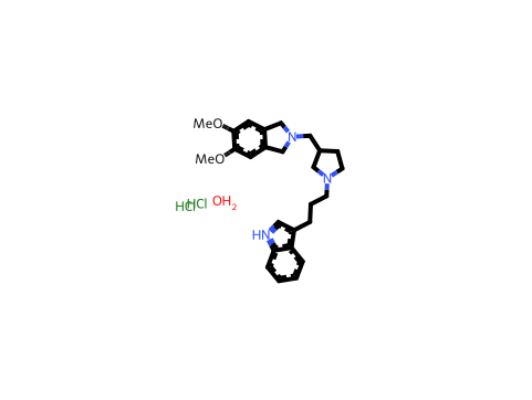 COc1cc2c(cc1OC)CN(CC1CCN(CCCc3c[nH]c4ccccc34)C1)C2.Cl.Cl.O